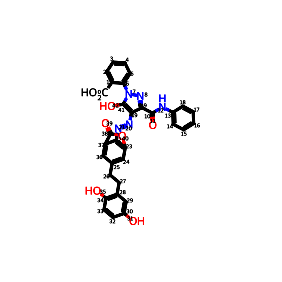 O=C(O)c1ccccc1-n1nc(C(=O)Nc2ccccc2)c(N=Nc2c3cc(CCc4cc(O)ccc4O)cc2C(=O)O3)c1O